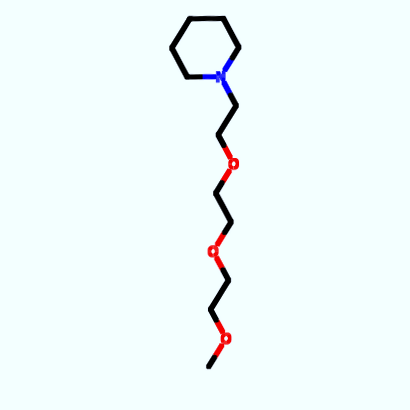 COCCOCCOCCN1CCCCC1